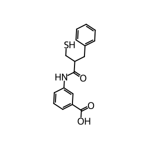 O=C(O)c1cccc(NC(=O)C(CS)Cc2ccccc2)c1